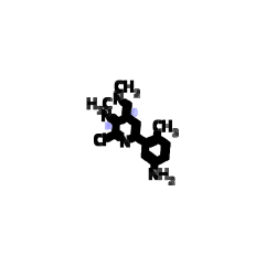 C=N/C=C1/C=C(c2cc(N)ccc2C)N=C(Cl)/C1=N/C